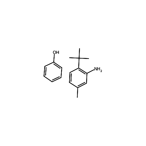 Cc1ccc(C(C)(C)C)c(N)c1.Oc1ccccc1